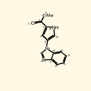 COC(=O)c1cc(-n2cnc3ccccc32)c[nH]1